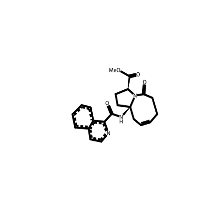 COC(=O)[C@@H]1CC[C@@]2(NC(=O)c3nccc4ccccc34)C/C=C\CCC(=O)N12